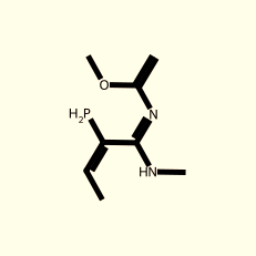 C=C(/N=C(NC)\C(P)=C/C)OC